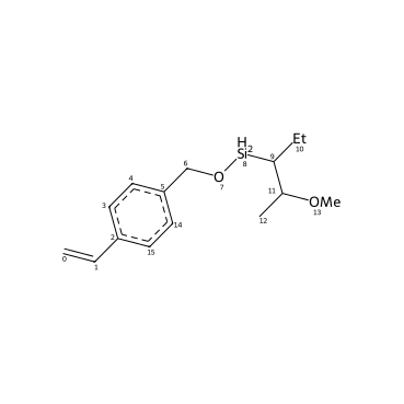 C=Cc1ccc(CO[SiH2]C(CC)C(C)OC)cc1